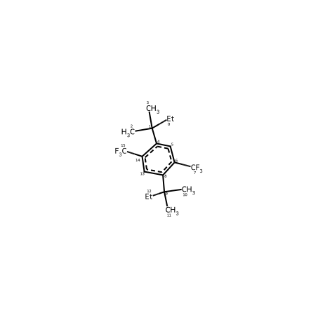 CCC(C)(C)c1cc(C(F)(F)F)c(C(C)(C)CC)cc1C(F)(F)F